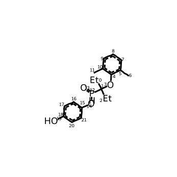 CCC(CC)(Oc1c(C)cccc1C)[PH](=O)Oc1ccc(O)cc1